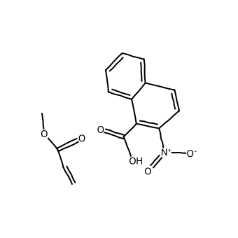 C=CC(=O)OC.O=C(O)c1c([N+](=O)[O-])ccc2ccccc12